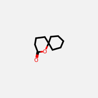 O=C1CCCC2(CCCCC2)O1